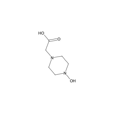 O=C(O)CN1CCN(O)CC1